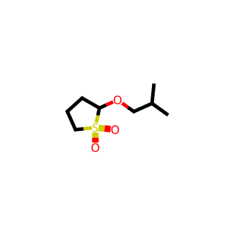 CC(C)COC1CCCS1(=O)=O